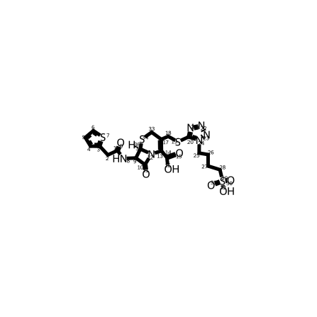 O=C(Cc1cccs1)NC1C(=O)N2C(C(=O)O)=C(CSc3nnnn3CCCCS(=O)(=O)O)CS[C@H]12